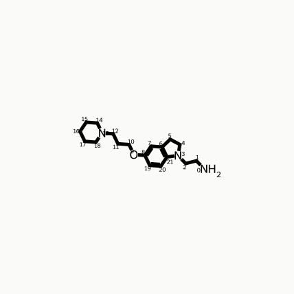 NCCN1CCc2cc(OCCCN3CCCCC3)ccc21